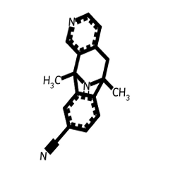 CC12Cc3ccncc3C(C)(N1)c1cc(C#N)ccc12